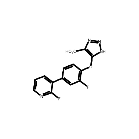 O=C(O)c1nn[nH]c1Oc1ccc(-c2cccnc2F)cc1F